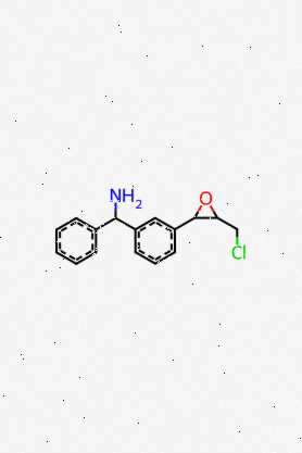 NC(c1ccccc1)c1cccc(C2OC2CCl)c1